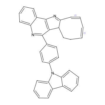 C1=C\CCC2C(=Nc3c2c(-c2ccc(-n4c5ccccc5c5ccccc54)cc2)nc2ccccc32)\C=C/1